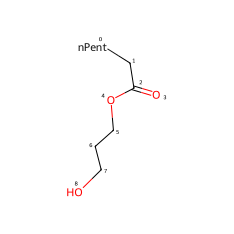 CCCCCCC(=O)OCCCO